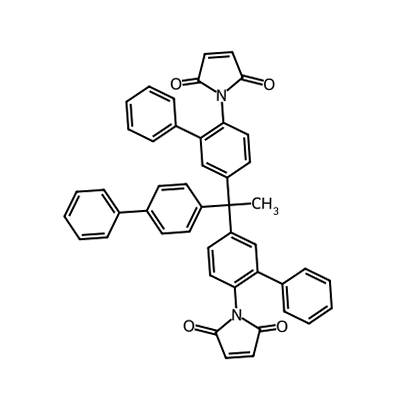 CC(c1ccc(-c2ccccc2)cc1)(c1ccc(N2C(=O)C=CC2=O)c(-c2ccccc2)c1)c1ccc(N2C(=O)C=CC2=O)c(-c2ccccc2)c1